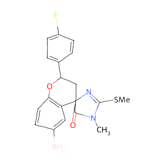 Bc1ccc2c(c1)C1(CC(c3ccc(F)cc3)O2)N=C(SC)N(C)C1=O